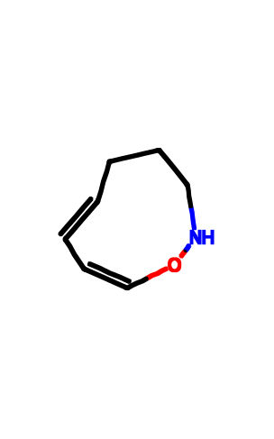 C1=C\ONCCC/C=C/1